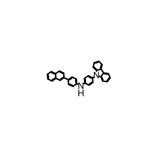 c1ccc2cc(-c3ccc(Nc4ccc(-n5c6ccccc6c6ccccc65)cc4)cc3)ccc2c1